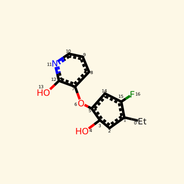 CCc1cc(O)c(Oc2cccnc2O)cc1F